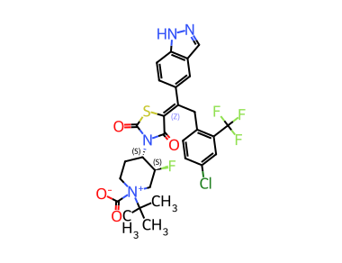 CC(C)(C)[N+]1(C(=O)[O-])CC[C@H](N2C(=O)S/C(=C(/Cc3ccc(Cl)cc3C(F)(F)F)c3ccc4[nH]ncc4c3)C2=O)[C@@H](F)C1